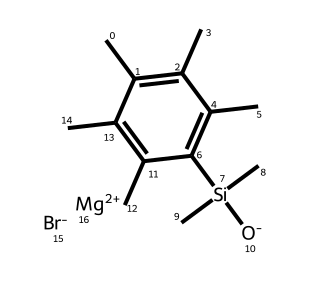 Cc1c(C)c(C)c([Si](C)(C)[O-])c(C)c1C.[Br-].[Mg+2]